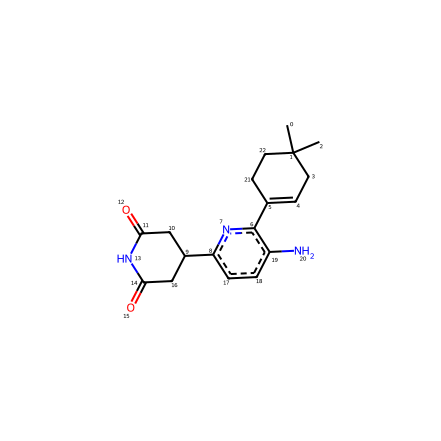 CC1(C)CC=C(c2nc(C3CC(=O)NC(=O)C3)ccc2N)CC1